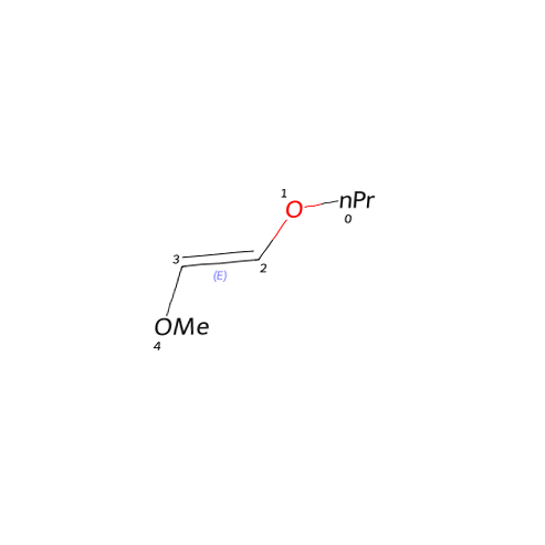 CCCO/C=C/OC